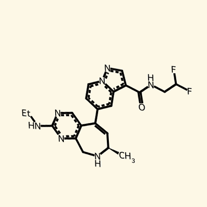 CCNc1ncc2c(n1)CN[C@H](C)C=C2c1ccn2ncc(C(=O)NCC(F)F)c2c1